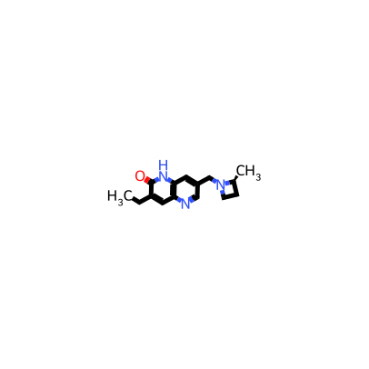 CCc1cc2ncc(CN3CC[C@@H]3C)cc2[nH]c1=O